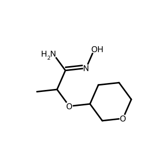 CC(OC1CCCOC1)C(N)=NO